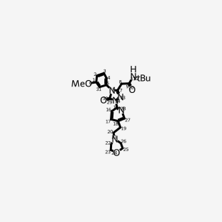 COc1cccc(-n2c(CC(=O)NC(C)(C)C)nn(-c3ccc(CCN4CCOCC4)cn3)c2=O)c1